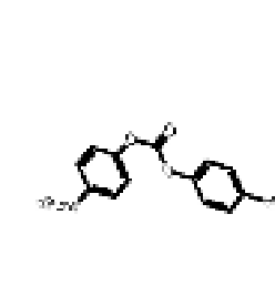 CCCCCc1ccc(OC(=O)Oc2ccc(CCC)cc2)cc1